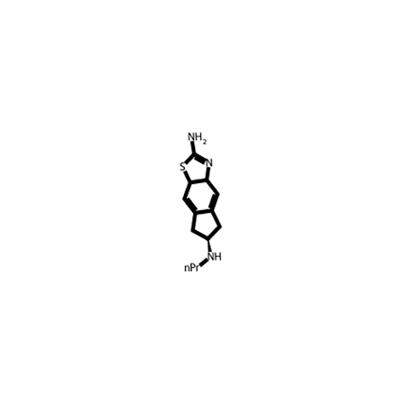 CCCN[C@@H]1CC2=CC3N=C(N)SC3C=C2C1